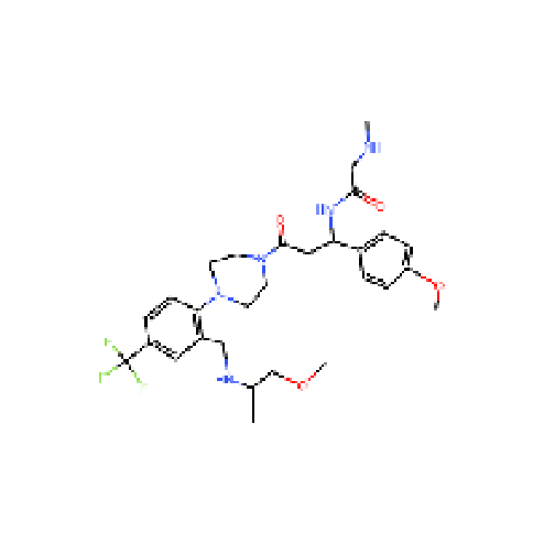 CNCC(=O)NC(CC(=O)N1CCN(c2ccc(C(F)(F)F)cc2CNC(C)COC)CC1)c1ccc(OC)cc1